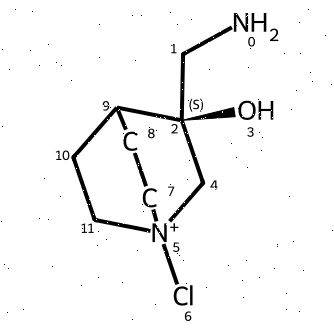 NC[C@]1(O)C[N+]2(Cl)CCC1CC2